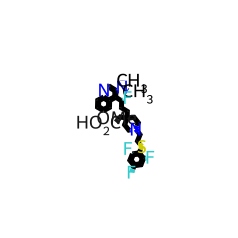 COc1ccc2ncc(N(C)C)c(C(F)CCC3(CC(=O)O)CCN(CCSc4c(F)cc(F)cc4F)CC3)c2c1